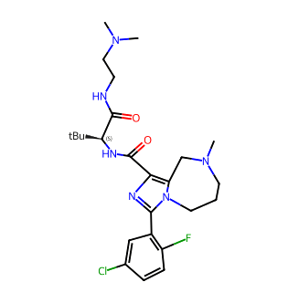 CN(C)CCNC(=O)[C@@H](NC(=O)c1nc(-c2cc(Cl)ccc2F)n2c1CN(C)CCC2)C(C)(C)C